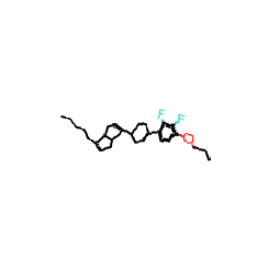 CCCCCC1CCC2C(C3CC=C(c4ccc(OCCC)c(F)c4F)CC3)=CCC12